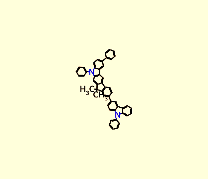 CC1(C)c2cc(-c3ccc4c(c3)c3ccccc3n4-c3ccccc3)ccc2-c2cc3c4cc(-c5ccccc5)ccc4n(-c4ccccc4)c3cc21